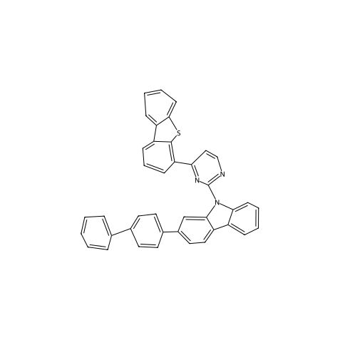 c1ccc(-c2ccc(-c3ccc4c5ccccc5n(-c5nccc(-c6cccc7c6sc6ccccc67)n5)c4c3)cc2)cc1